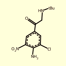 CC(C)(C)NCC(=O)c1cc(Cl)c(N)c([N+](=O)[O-])c1